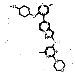 Cc1cc(-c2ccn3nc(Nc4cc(C)nc(N5CCOCC5)n4)cc3c2)c(OC2CCC(O)CC2)cn1